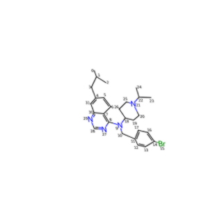 CC(C)Cc1ccc2c(N(Cc3ccc(Br)cc3)C3CCN(C(C)C)CC3)ncnc2c1